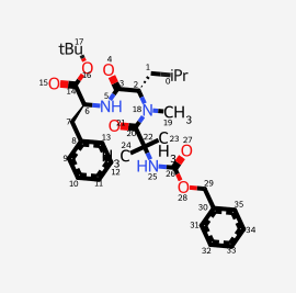 CC(C)C[C@@H](C(=O)N[C@@H](Cc1ccccc1)C(=O)OC(C)(C)C)N(C)C(=O)C(C)(C)NC(=O)OCc1ccccc1